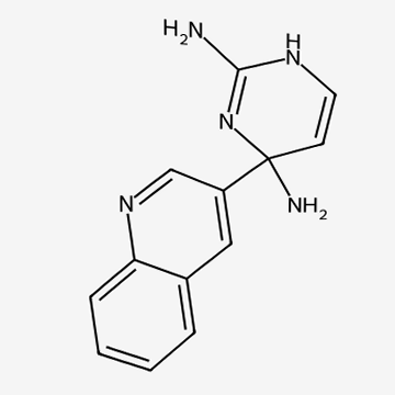 NC1=NC(N)(c2cnc3ccccc3c2)C=CN1